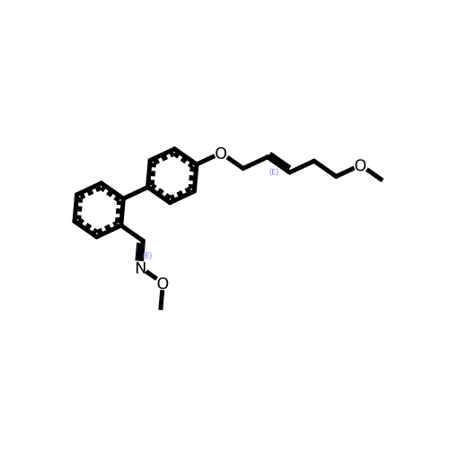 COCC/C=C/COc1ccc(-c2ccccc2/C=N/OC)cc1